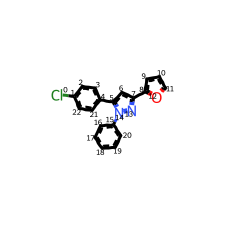 Clc1ccc(-c2cc(-c3ccco3)nn2-c2ccccc2)cc1